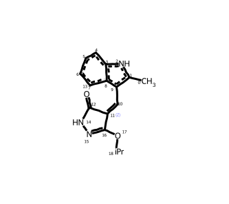 Cc1[nH]c2ccccc2c1/C=C1\C(=O)NN=C1OC(C)C